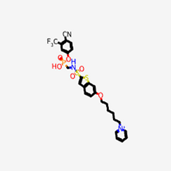 N#Cc1ccc(OP(=O)(O)CNS(=O)(=O)c2cc3ccc(OCCCCCC[n+]4ccccc4)cc3s2)cc1C(F)(F)F